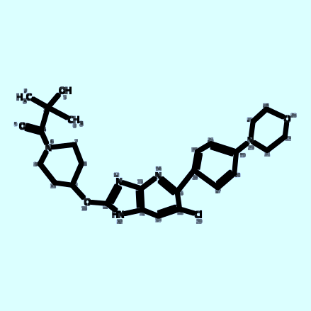 CC(C)(O)C(=O)N1CCC(Oc2nc3nc(-c4ccc(N5CCOCC5)cc4)c(Cl)cc3[nH]2)CC1